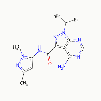 CCCC(CC)n1nc(C(=O)Nc2cc(C)nn2C)c2c(N)ncnc21